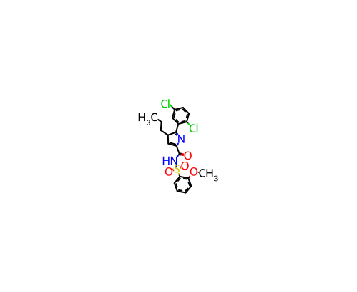 CCCC1C=C(C(=O)NS(=O)(=O)c2ccccc2OC)N=C1c1cc(Cl)ccc1Cl